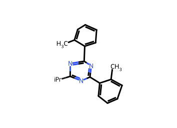 Cc1ccccc1-c1nc(-c2ccccc2C)nc(C(C)C)n1